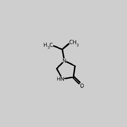 CC(C)N1CNC(=O)C1